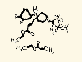 C=CC(=O)OCC.CCOC(=O)/C=C/CC1(Nc2ccc(F)c(F)c2)CCN(C(=O)OC(C)(C)C)CC1